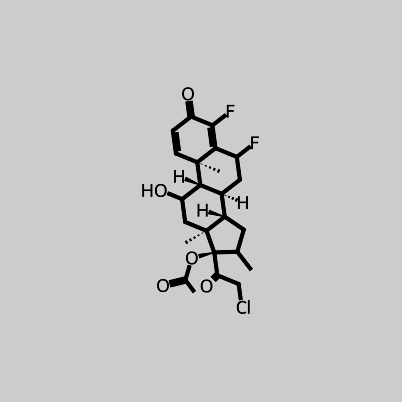 CC(=O)O[C@]1(C(=O)CCl)C(C)C[C@H]2[C@@H]3CC(F)C4=C(F)C(=O)C=C[C@]4(C)[C@H]3C(O)C[C@@]21C